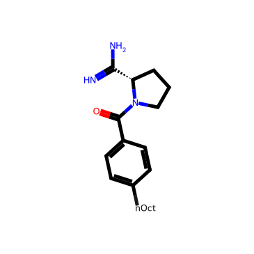 CCCCCCCCc1ccc(C(=O)N2CCC[C@H]2C(=N)N)cc1